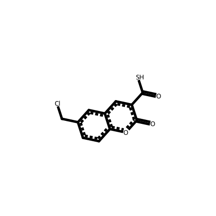 O=C(S)c1cc2cc(CCl)ccc2oc1=O